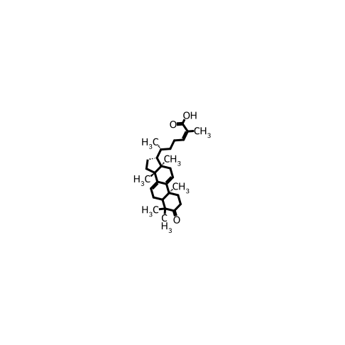 C/C(=C/CC[C@@H](C)[C@H]1CC[C@@]2(C)C3=CCC4C(C)(C)C(=O)CC[C@]4(C)C3=CC[C@]12C)C(=O)O